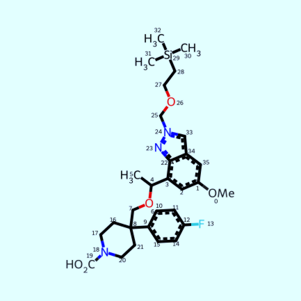 COc1cc(C(C)OCC2(c3ccc(F)cc3)CCN(C(=O)O)CC2)c2nn(COCC[Si](C)(C)C)cc2c1